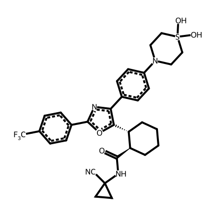 N#CC1(NC(=O)[C@@H]2CCCC[C@H]2c2oc(-c3ccc(C(F)(F)F)cc3)nc2-c2ccc(N3CCS(O)(O)CC3)cc2)CC1